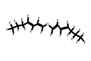 FC(OC(F)=C(F)C(F)=C(F)C(F)(F)C(F)(F)C(F)(F)F)=C(F)C(F)=C(F)C(F)(F)C(F)(F)C(F)(F)F